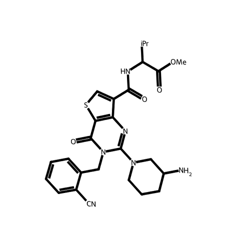 COC(=O)C(NC(=O)c1csc2c(=O)n(Cc3ccccc3C#N)c(N3CCCC(N)C3)nc12)C(C)C